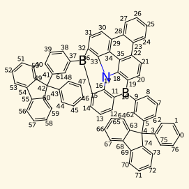 c1ccc(C2(c3cccc(B4c5cccc6c5-n5c7c4ccc4c8ccccc8c8ccc(c5c8c47)B6c4cccc(C5(c6ccccc6)c6ccccc6-c6ccccc65)c4)c3)c3ccccc3-c3ccccc32)cc1